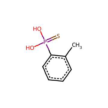 Cc1ccccc1P(O)(O)=S